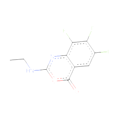 CCNc1nc2c(F)c(F)c(F)cc2c(=O)o1